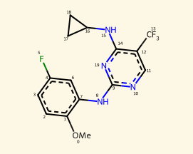 COc1c[c]c(F)cc1Nc1ncc(C(F)(F)F)c(NC2CC2)n1